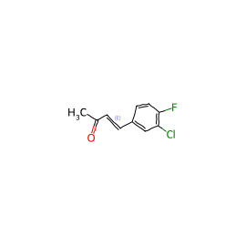 CC(=O)/C=C/c1ccc(F)c(Cl)c1